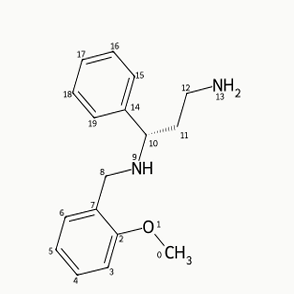 COc1ccccc1CN[C@@H](CCN)c1ccccc1